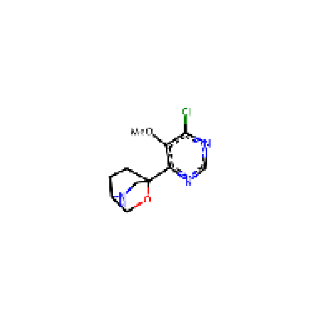 COc1c(Cl)ncnc1C12CCC(CO1)NC2